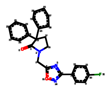 O=C1N(Cc2nc(-c3ccc(F)cc3)no2)CCC1(c1ccccc1)c1ccccc1